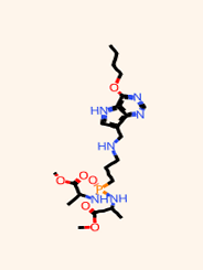 CCCCOc1ncnc2c(CNCCCP(=O)(NC(C)C(=O)OC)NC(C)C(=O)OC)c[nH]c12